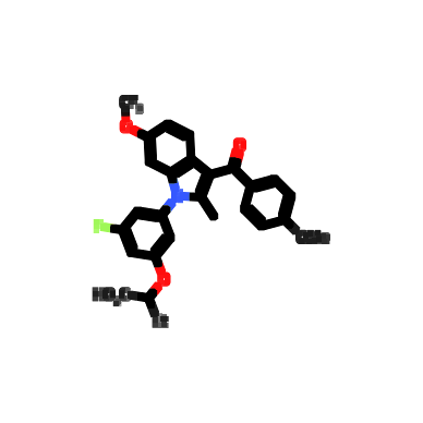 CCC(Oc1cc(F)cc(-n2c(C)c(C(=O)c3ccc(OC)cc3)c3ccc(OC(F)(F)F)cc32)c1)C(=O)O